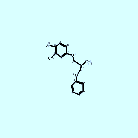 CC(COc1[c]cccc1)COc1ccc(Br)c(Cl)c1